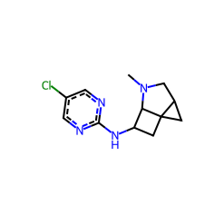 CN1CC2CC23CC(Nc2ncc(Cl)cn2)C13